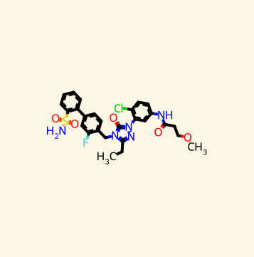 CCc1nn(-c2cc(NC(=O)CCOC)ccc2Cl)c(=O)n1Cc1ccc(-c2ccccc2S(N)(=O)=O)cc1F